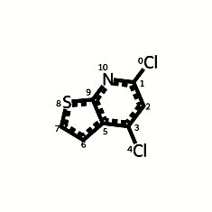 Clc1cc(Cl)c2ccsc2n1